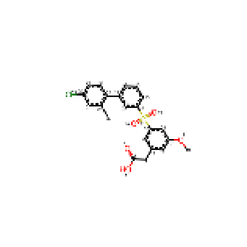 COc1cc(CC(=O)O)cc(S(=O)(=O)c2cccc(-c3ccc(Cl)cc3C)c2)c1